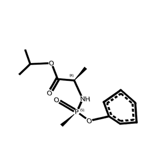 CC(C)OC(=O)[C@@H](C)N[P@@](C)(=O)Oc1ccccc1